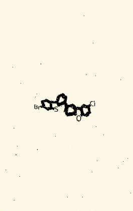 Clc1ccc2oc3ccc(-c4cccc5c4sc4cc(Br)ccc45)cc3c2c1